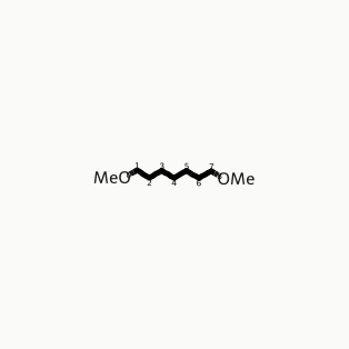 COCCCCCCCOC